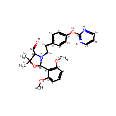 COc1cccc(OC)c1C1OC(C)(C)C(C=O)N1CCc1ccc(Oc2ncccn2)cc1